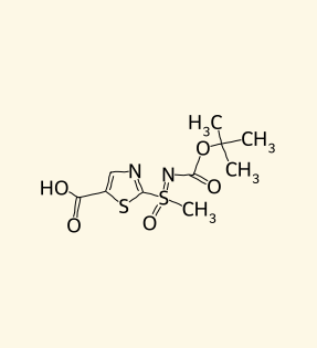 CC(C)(C)OC(=O)N=S(C)(=O)c1ncc(C(=O)O)s1